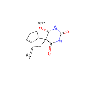 C=CCC1(C2C=CCC2)C(=O)NC(=O)NC1=O.[NaH]